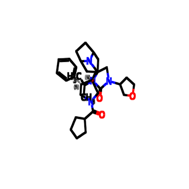 CC(C)N1C(=O)N(C2CCOC2)CC12CC1CCC(C2)N1C[C@H]1CN(C(=O)C2CCCC2)C[C@@H]1c1ccccc1